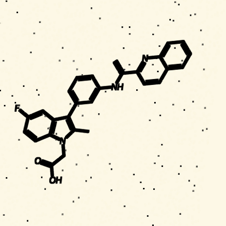 C=C(Nc1cccc(-c2c(C)n(CC(=O)O)c3ccc(F)cc23)c1)c1ccc2ccccc2n1